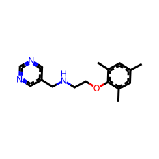 Cc1cc(C)c(OCCNCc2cncnc2)c(C)c1